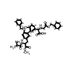 COC(=O)C(Cc1ccc(OCc2ccccc2)c(-c2cc(C(NCC(=O)OCc3ccccc3)C(=O)O)ccc2O)c1)NC(=O)C(C)N